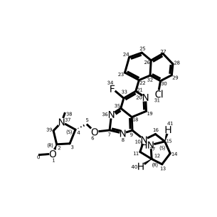 CO[C@@H]1C[C@@H](COc2nc(N3C[C@H]4CC[C@@H](C3)N4)c3cnc(-c4cccc5cccc(Cl)c45)c(F)c3n2)N(C)C1